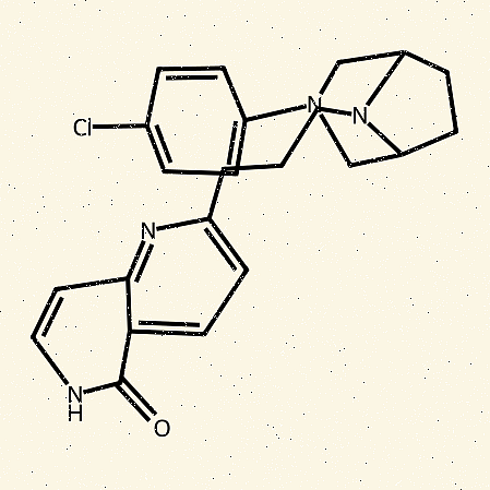 O=c1[nH]ccc2nc(CCCN3C4CCC3CN(c3ccc(Cl)cc3)C4)ccc12